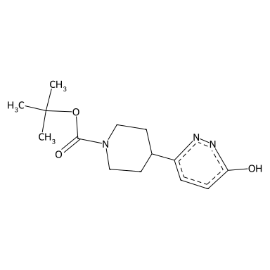 CC(C)(C)OC(=O)N1CCC(c2ccc(O)nn2)CC1